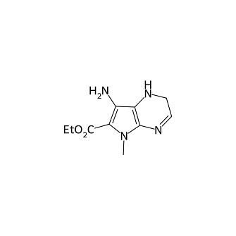 CCOC(=O)c1c(N)c2c(n1C)N=CCN2